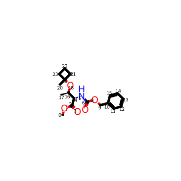 COC(=O)[C@@H](NC(=O)OCc1ccccc1)[C@@H](C)OC1(C)CCC1